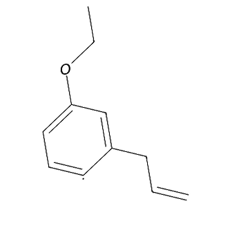 C=CCc1[c]ccc(OCC)c1